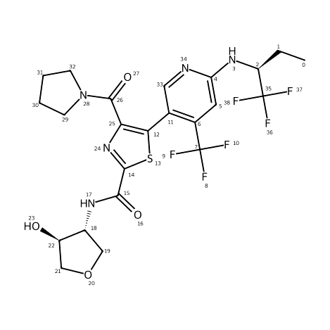 CC[C@H](Nc1cc(C(F)(F)F)c(-c2sc(C(=O)N[C@@H]3COC[C@H]3O)nc2C(=O)N2CCCC2)cn1)C(F)(F)F